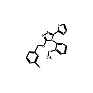 COc1ccccc1-n1c(SCc2cccc(F)c2)nnc1-c1cccs1